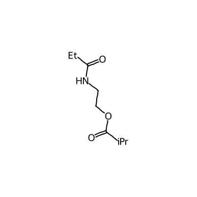 CCC(=O)NCCOC(=O)C(C)C